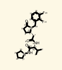 CC(C)[C@@H](NC(=O)C[C@@H]1CCC(=O)N1Cc1cccc(F)c1F)C(=O)NN1CCCC1